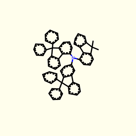 CC1(C)c2ccccc2-c2c(N(c3ccc4c(c3)-c3ccccc3C4(c3ccccc3)c3ccccc3)c3cccc4c3-c3ccccc3C4(c3ccccc3)c3ccccc3)cccc21